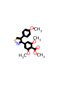 COC(=O)c1c(OC)cc(-c2nscc2-c2ccc(OC)cc2)cc1OC